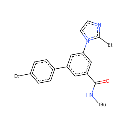 CCc1ccc(-c2cc(C(=O)NC(C)(C)C)cc(-n3ccnc3CC)c2)cc1